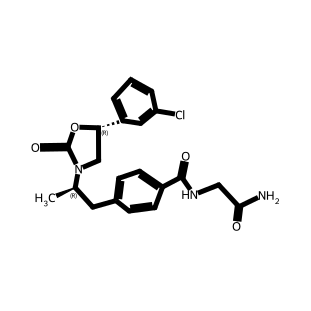 C[C@H](Cc1ccc(C(=O)NCC(N)=O)cc1)N1C[C@@H](c2cccc(Cl)c2)OC1=O